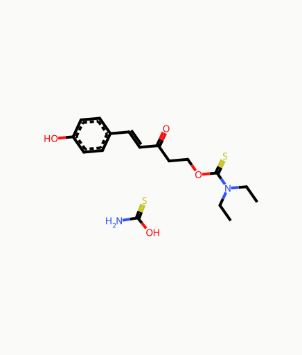 CCN(CC)C(=S)OCCC(=O)C=Cc1ccc(O)cc1.NC(O)=S